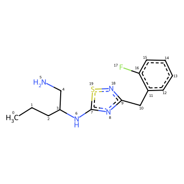 CCCC(CN)Nc1nc(Cc2ccccc2F)ns1